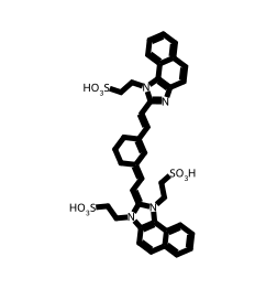 O=S(=O)(O)CCN1/C(=C/C=C2C=C(/C=C/c3nc4ccc5ccccc5c4n3CCS(=O)(=O)O)CCC/2)N(CCS(=O)(=O)O)c2c1ccc1ccccc21